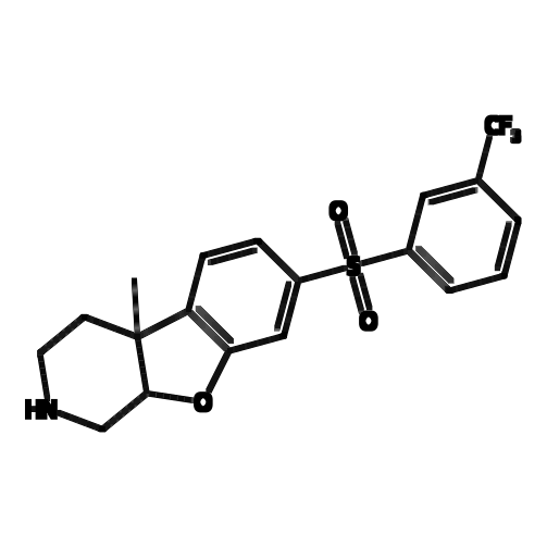 CC12CCNCC1Oc1cc(S(=O)(=O)c3cccc(C(F)(F)F)c3)ccc12